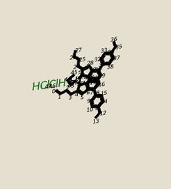 CCCCC1=Cc2c(-c3ccc(CC)cc3)cccc2[CH]1[Hf]1([CH]2C(CCCC)=Cc3c(-c4ccc(CC)cc4)cccc32)[CH2]C[CH2]1.Cl.Cl